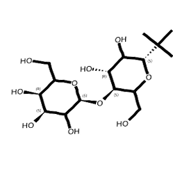 CC(C)(C)[C@@H]1OC(CO)[C@@H](O[C@@H]2OC(CO)[C@H](O)[C@H](O)C2O)[C@H](O)C1O